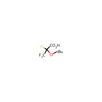 CCCCOC(F)(C(=O)O)C(F)(F)F